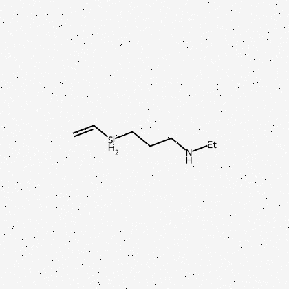 C=C[SiH2]CCCNCC